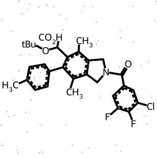 Cc1ccc(-c2c(C)c3c(c(C)c2C(OC(C)(C)C)C(=O)O)CN(C(=O)c2cc(F)c(F)c(Cl)c2)C3)cc1